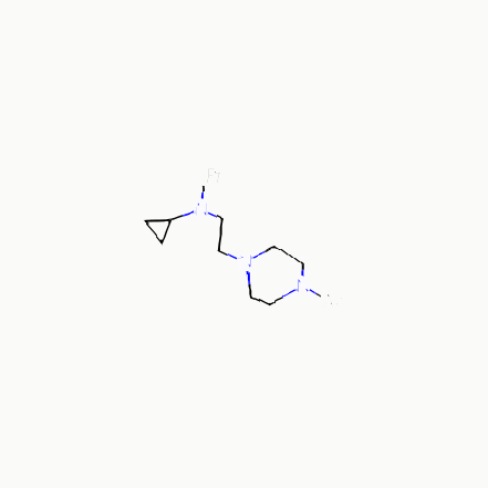 CC(=O)N1CCN(CCN(C(C)C)C2CC2)CC1